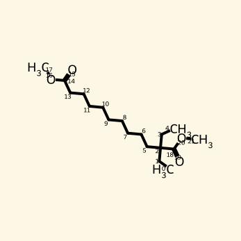 CCC(CC)(CCCCCCCCCC(=O)OC)C(=O)OC